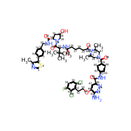 Cc1ncsc1-c1ccc(CNC(=O)[C@@H]2C[C@@H](O)CN2C(=O)[C@@H](NC(=O)CCCCC(=O)N2[C@H](C)CN(C(=O)c3ccc(NC(=O)c4cc(OCCc5c(Cl)ccc(F)c5Cl)c(N)nn4)cc3)C[C@@H]2C)C(C)(C)C)cc1